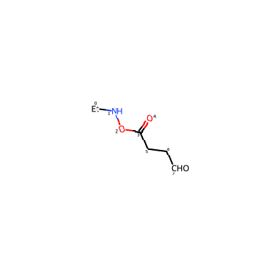 CCNOC(=O)CCC=O